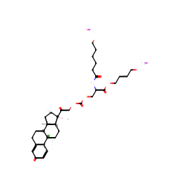 C[C@H]1C[C@H]2[C@@H]3CCC4=CC(=O)C=C[C@]4(C)C3(F)[C@@H](O)C[C@]2(C)[C@@]1(O)C(=O)COC(=O)OCC(NC(=O)CCCCCON(O)O)C(=O)OCCCCON(O)O